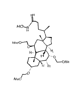 CC[C@H]1[C@@H](OCOC)[C@@H]2[C@H]([C@@H](OCOC)C[C@]3(C)[C@@H]([C@H](C)CCC(=N)NO)CC[C@@H]23)[C@@]2(C)CC[C@@H](OCOC)C[C@@H]12